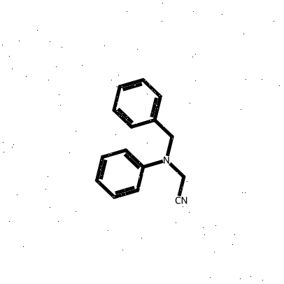 N#CCN(Cc1cc[c]cc1)c1ccccc1